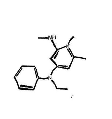 CCN(c1ccccc1)c1cc(C)[n+](C)c(NC)c1.[I-]